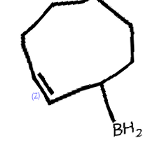 BC1/C=C\CCCCC1